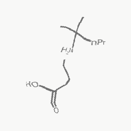 CCC(=O)O.CCCC(C)(C)N